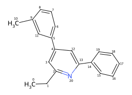 CCc1cc(-c2cccc(C)c2)cc(-c2ccccc2)n1